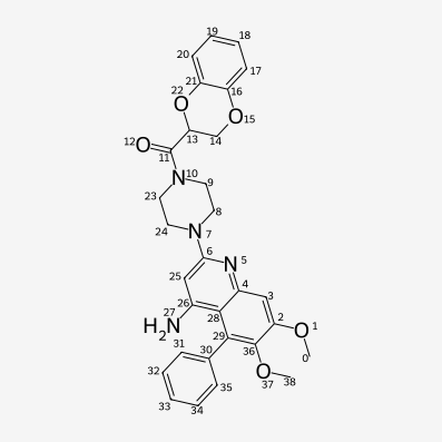 COc1cc2nc(N3CCN(C(=O)C4COc5ccccc5O4)CC3)cc(N)c2c(-c2ccccc2)c1OC